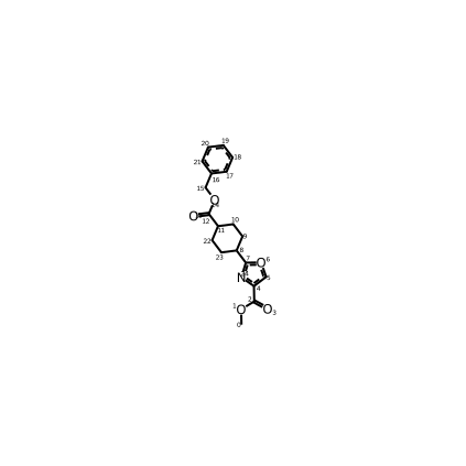 COC(=O)c1coc(C2CCC(C(=O)OCc3ccccc3)CC2)n1